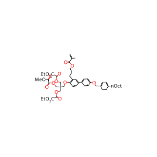 C=C(C)C(=O)OCCCc1cc(-c2ccc(OCc3ccc(CCCCCCCC)cc3)cc2)ccc1OCC(COC(=O)C(=O)OC)(COC(=O)C(=O)OCC)COC(=O)C(=O)OCC